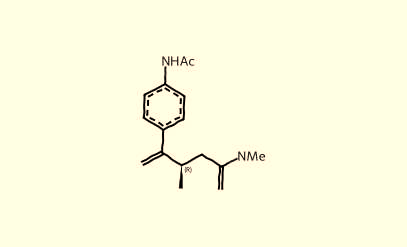 C=C(C[C@@H](C)C(=C)c1ccc(NC(C)=O)cc1)NC